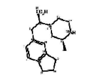 C[C@H]1CN([C@@H](Cc2ccc3c(c2)CCC3)C(=O)O)CCN1